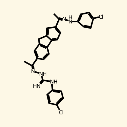 C/C(=N/NC(=N)Nc1ccc(Cl)cc1)c1ccc2c(c1)Cc1cc(/C(C)=N\Nc3ccc(Cl)cc3)ccc1-2